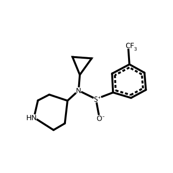 [O-][S+](c1cccc(C(F)(F)F)c1)N(C1CCNCC1)C1CC1